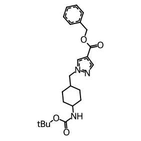 CC(C)(C)OC(=O)NC1CCC(Cn2cc(C(=O)OCc3ccccc3)cn2)CC1